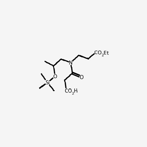 CCOC(=O)CCN(CC(C)O[Si](C)(C)C)C(=O)CC(=O)O